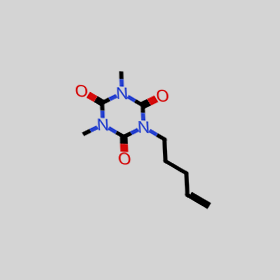 C=CCCCn1c(=O)n(C)c(=O)n(C)c1=O